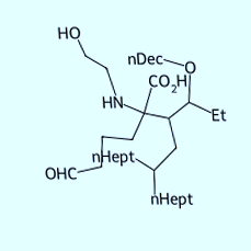 CCCCCCCCCCOC(CC)C(CC(CCCCCCC)CCCCCCC)C(CCCC=O)(NCCO)C(=O)O